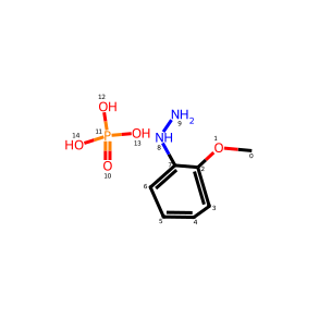 COc1ccccc1NN.O=P(O)(O)O